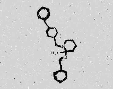 CC1(OCc2ccccc2)CCCCN1CC1CCC(c2ccccc2)CC1